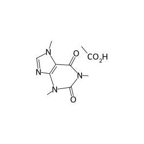 CC(=O)O.Cn1c(=O)c2c(ncn2C)n(C)c1=O